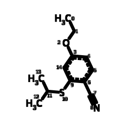 CCOc1ccc(C#N)c(SC(C)C)c1